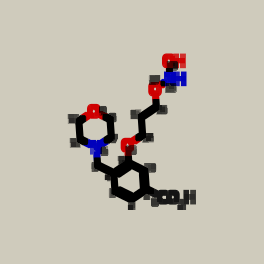 O=C(O)c1ccc(CN2CCOCC2)c(OCCCONO)c1